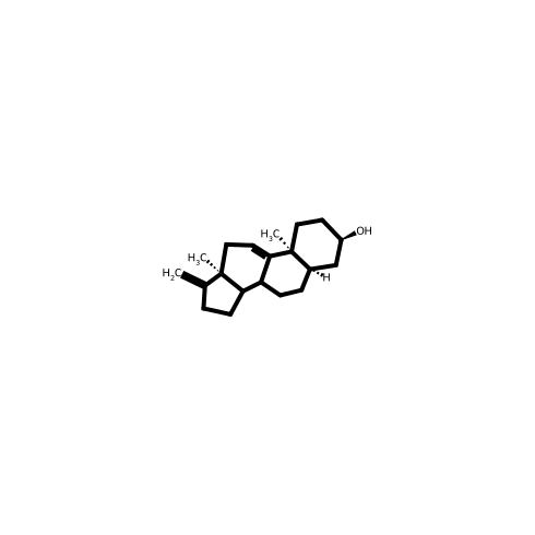 C=C1CCC2C3CC[C@@H]4C[C@H](O)CC[C@]4(C)C3=CC[C@]12C